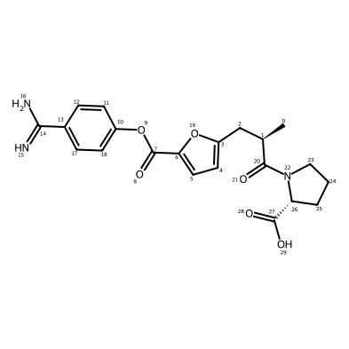 C[C@H](Cc1ccc(C(=O)Oc2ccc(C(=N)N)cc2)o1)C(=O)N1CCC[C@@H]1C(=O)O